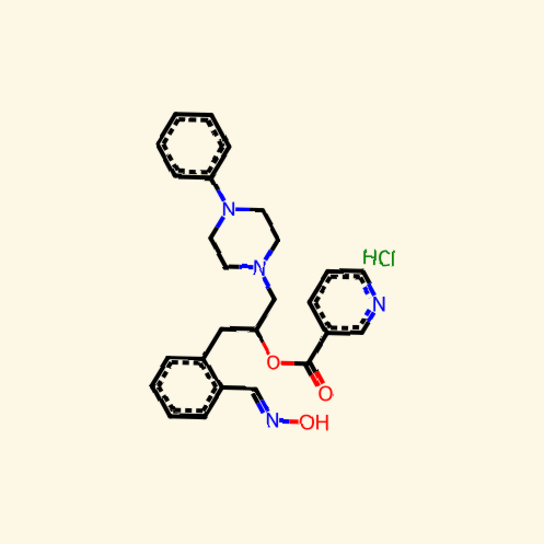 Cl.O=C(OC(Cc1ccccc1C=NO)CN1CCN(c2ccccc2)CC1)c1cccnc1